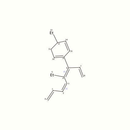 C=C/C=C\C(CC)=C(/C=C)C1=CCC(CC)C=C1